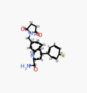 NC(=O)c1cc(C2=CC=CC(F)C=C2)c2ccc(CN3C(=O)CCC3=O)cc2n1